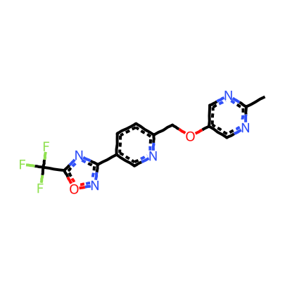 Cc1ncc(OCc2ccc(-c3noc(C(F)(F)F)n3)cn2)cn1